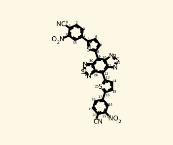 N#Cc1ccc(-c2ccc(-c3c4c(c(-c5ccc(-c6ccc(C#N)c([N+](=O)[O-])c6)s5)c5nsnc35)N=S=N4)s2)cc1[N+](=O)[O-]